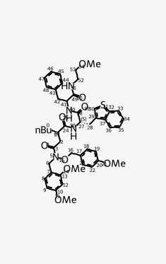 CCCC[C@H](CC(=O)N(Cc1ccc(OC)cc1OC)OCc1ccc(OC)cc1)C(=O)N[C@@H](Cc1csc2ccccc12)C(=O)NC(Cc1ccccc1)C(=O)NCCOC